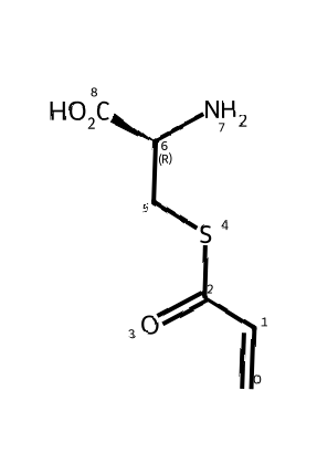 C=CC(=O)SC[C@H](N)C(=O)O